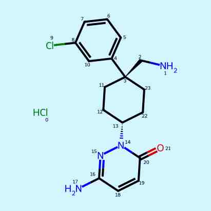 Cl.NC[C@]1(c2cccc(Cl)c2)CC[C@@H](n2nc(N)ccc2=O)CC1